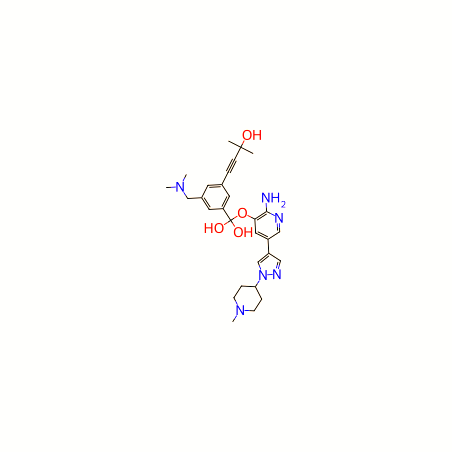 CN(C)Cc1cc(C#CC(C)(C)O)cc(C(O)(O)Oc2cc(-c3cnn(C4CCN(C)CC4)c3)cnc2N)c1